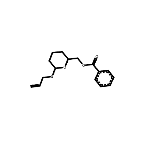 C=CCSC1CCCC(COC(=O)c2ccccc2)O1